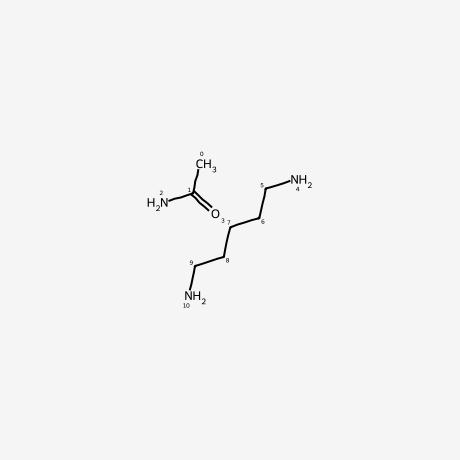 CC(N)=O.NCCCCCN